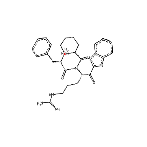 CN[C@H](Cc1ccccc1)C(=O)N(C(=O)C1CCCCN1)[C@@H](CCCNC(=N)N)C(=O)c1nc2ccccc2s1